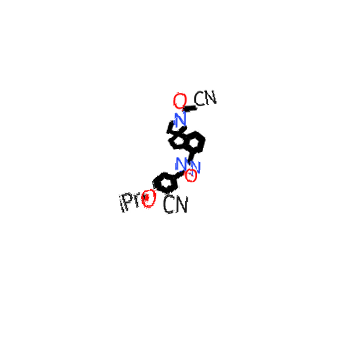 CC(C)Oc1ccc(-c2nc(-c3cccc4c3CCC43CCN(C(=O)CC#N)C3)no2)cc1C#N